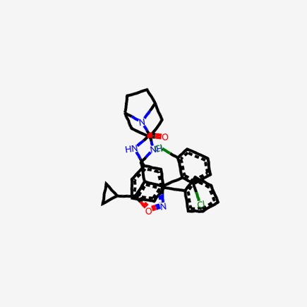 O=C(Nc1cccc(-c2ccccc2)c1)N1C2CCC1CC(NCc1c(-c3c(Cl)cccc3Cl)noc1C1CC1)C2